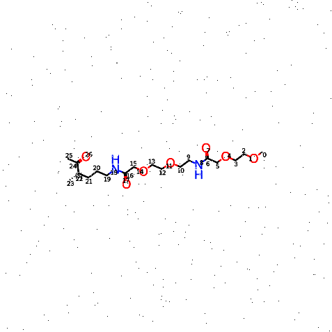 COCCOCC(=O)NCCOCCOCC(=O)NCCC[C@H](C)C(C)=O